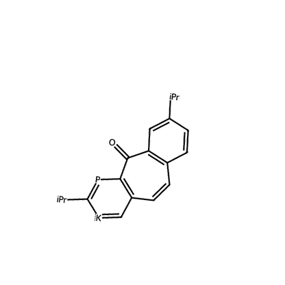 CC(C)[C]1=Pc2c(ccc3ccc(C(C)C)cc3c2=O)[CH]=[K]1